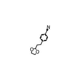 N#Cc1ccc(CCC2OCCO2)cc1